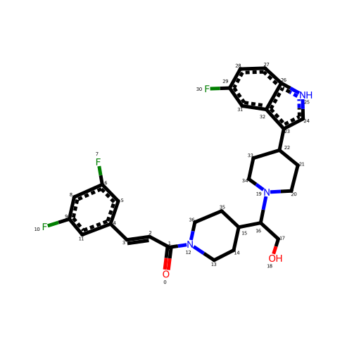 O=C(C=Cc1cc(F)cc(F)c1)N1CCC(C(CO)N2CCC(c3c[nH]c4ccc(F)cc34)CC2)CC1